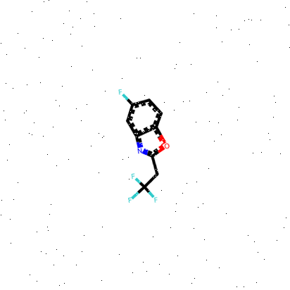 Fc1ccc2oc(CC(F)(F)F)nc2c1